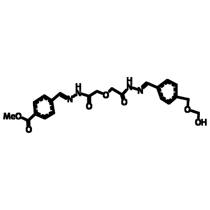 COC(=O)c1ccc(C=NNC(=O)COCC(=O)NN=Cc2ccc(COCO)cc2)cc1